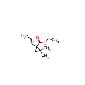 C/C=C/C1(C(=O)OCC)CC1(C)C